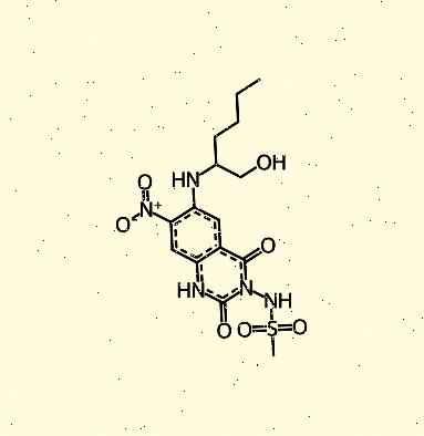 CCCCC(CO)Nc1cc2c(=O)n(NS(C)(=O)=O)c(=O)[nH]c2cc1[N+](=O)[O-]